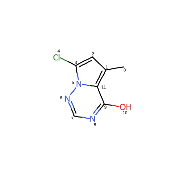 Cc1cc(Cl)n2ncnc(O)c12